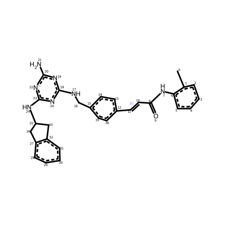 Cc1ccccc1NC(=O)/C=C/c1ccc(CNc2nc(N)nc(NC3Cc4ccccc4C3)n2)cc1